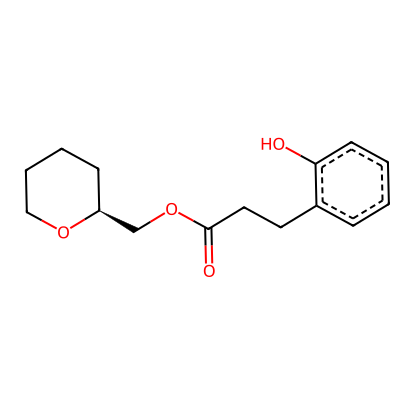 O=C(CCc1ccccc1O)OC[C@@H]1CCCCO1